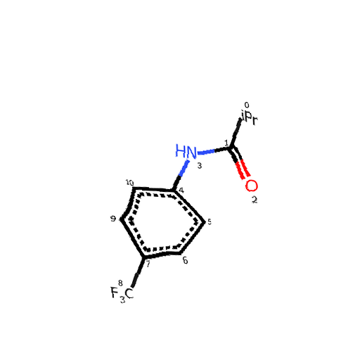 CC(C)C(=O)Nc1ccc(C(F)(F)F)cc1